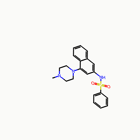 CN1CCN(c2cc(NS(=O)(=O)c3ccccc3)cc3ccccc23)CC1